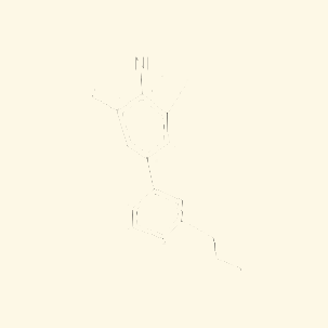 CCCc1cccc(-c2cc(C)c(N)c(C)c2)c1